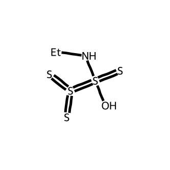 CCNS(O)(=S)=S(=S)=S